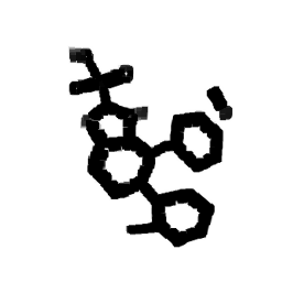 C=O.Cc1ccccc1-c1ccc2nc(S(=O)(=O)O)[nH]c2c1-c1ccccc1